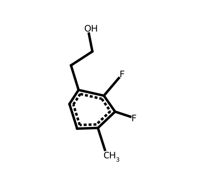 Cc1ccc(CCO)c(F)c1F